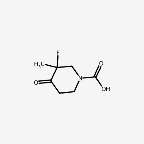 CC1(F)CN(C(=O)O)CCC1=O